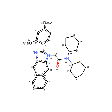 COc1ccc(-c2nc3cc4ccccc4cc3n2CC(=O)N(C2CCCCC2)C2CCCCC2)c(OC)c1